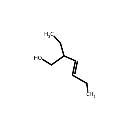 CC/C=C/C(CC)CO